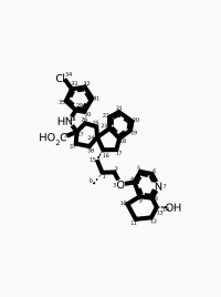 C[C@@H](COc1ccnc2c1CCC[C@H]2O)C[C@H]1Cc2ccccc2C12CCC(Nc1cccc(Cl)c1)(C(=O)O)CC2